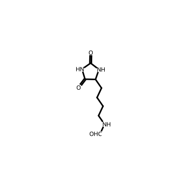 O=CNCCCCC1NC(=O)NC1=O